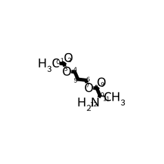 CC(=O)OCCCOC(=O)[C@H](C)N